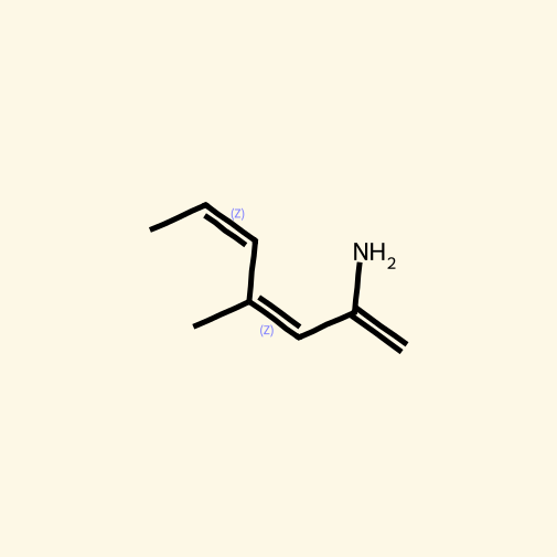 C=C(N)/C=C(C)\C=C/C